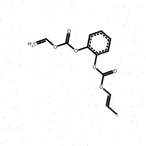 C=COC(=O)Oc1ccccc1OC(=O)OC=CI